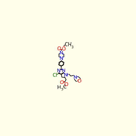 CCOC(=O)N1CCN(c2ccc(-c3nc(Cl)c4c(n3)N(CCCN3CCOCC3)C(CC(=O)OC)C4)cc2)CC1